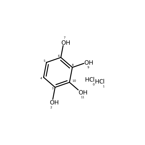 Cl.Cl.Oc1ccc(O)c(O)c1O